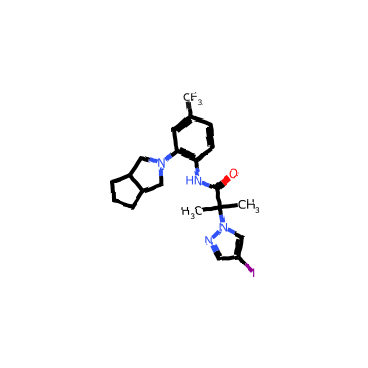 CC(C)(C(=O)Nc1ccc(C(F)(F)F)cc1N1CC2CCCC2C1)n1cc(I)cn1